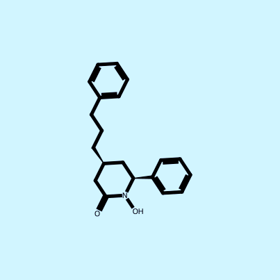 O=C1C[C@@H](CCCc2ccccc2)C[C@@H](c2ccccc2)N1O